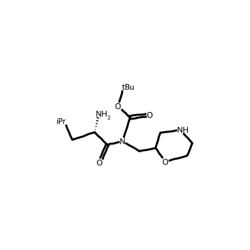 CC(C)C[C@H](N)C(=O)N(CC1CNCCO1)C(=O)OC(C)(C)C